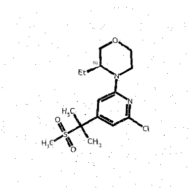 CC[C@H]1COCCN1c1cc(C(C)(C)S(C)(=O)=O)cc(Cl)n1